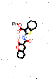 CC(C)OC(=O)c1c(NC(=O)c2cc3ccccc3oc2=O)sc2c1CCCCC2